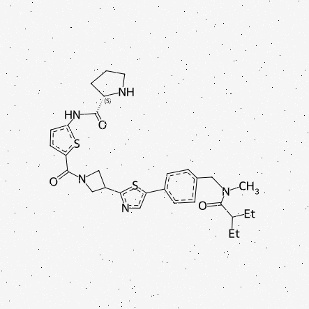 CCC(CC)C(=O)N(C)Cc1ccc(-c2cnc(C3CN(C(=O)c4ccc(NC(=O)[C@@H]5CCCN5)s4)C3)s2)cc1